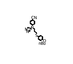 CCCCOc1ccc(SCCCN(c2ccc(C#N)cc2)n2cnnc2)cc1